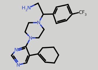 NCC(c1ccc(C(F)(F)F)cc1)N1CCN(c2ncncc2C2=CCCCC2)CC1